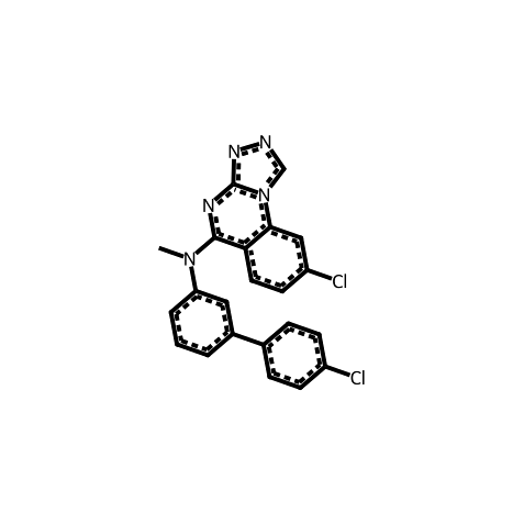 CN(c1cccc(-c2ccc(Cl)cc2)c1)c1nc2nncn2c2cc(Cl)ccc12